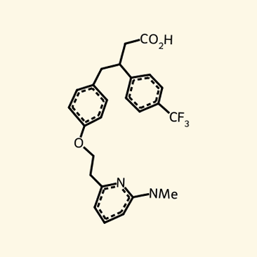 CNc1cccc(CCOc2ccc(CC(CC(=O)O)c3ccc(C(F)(F)F)cc3)cc2)n1